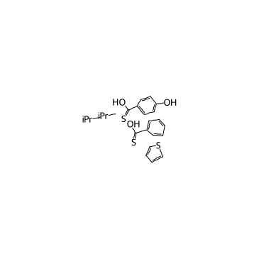 CC(C)C.CC(C)C.OC(=S)c1ccc(O)cc1.OC(=S)c1ccccc1.c1ccsc1